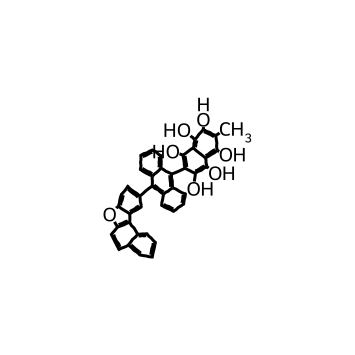 Cc1c(O)c(O)c2c(O)c(-c3c4ccccc4c(-c4ccc5oc6ccc7ccccc7c6c5c4)c4ccccc34)c(O)c(O)c2c1O